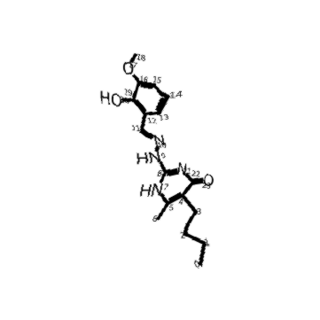 CCCCc1c(C)[nH]c(N/N=C/c2cccc(OC)c2O)nc1=O